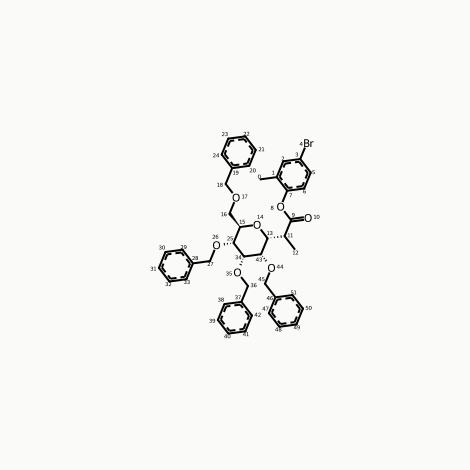 Cc1cc(Br)ccc1OC(=O)C(C)[C@H]1O[C@H](COCc2ccccc2)[C@@H](OCc2ccccc2)[C@@H](OCc2ccccc2)[C@H]1OCc1ccccc1